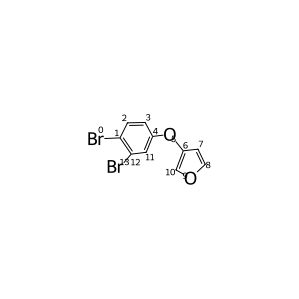 Brc1ccc(Oc2ccoc2)cc1Br